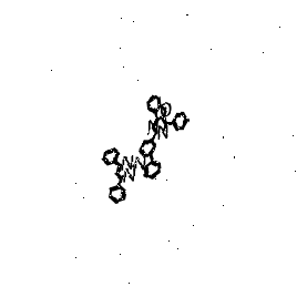 c1ccc(-c2cc(-c3ccccc3)nc(-n3c4ccccc4c4cc(-c5nc(-c6ccccc6)c6oc7ccccc7c6n5)ccc43)n2)cc1